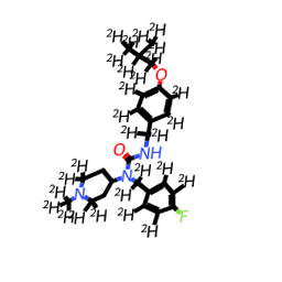 [2H]c1c([2H])c(C([2H])([2H])N(C(=O)NC([2H])([2H])c2c([2H])c([2H])c(OC([2H])([2H])C([2H])(C([2H])([2H])[2H])C([2H])([2H])[2H])c([2H])c2[2H])C2CC([2H])([2H])N(C([2H])([2H])[2H])C([2H])([2H])C2)c([2H])c([2H])c1F